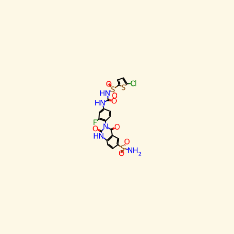 NS(=O)(=O)c1ccc2[nH]c(=O)n(-c3ccc(NC(=O)NS(=O)(=O)c4ccc(Cl)s4)cc3F)c(=O)c2c1